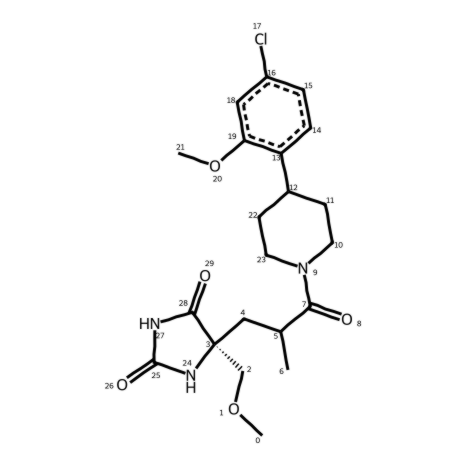 COC[C@]1(CC(C)C(=O)N2CCC(c3ccc(Cl)cc3OC)CC2)NC(=O)NC1=O